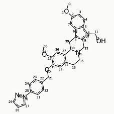 COc1ccc2c(c1)c1c(n2CO)CN2CCc3cc(OCc4ccc(-n5cccn5)cc4)c(OC)cc3C2C1